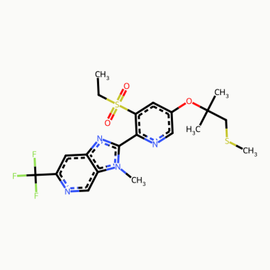 CCS(=O)(=O)c1cc(OC(C)(C)CSC)cnc1-c1nc2cc(C(F)(F)F)ncc2n1C